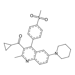 Cc1nc2ccc(N3CCCCC3)cc2c(-c2ccc(S(C)(=O)=O)cc2)c1C(=O)C1CC1